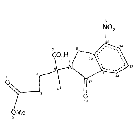 COC(=O)CCC(C)(C(=O)O)N1Cc2c(cccc2[N+](=O)[O-])C1=O